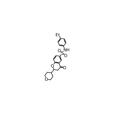 CCc1ccc(NS(=O)(=O)c2ccc3c(c2)C(=O)CC(C2CCOCC2)O3)cc1